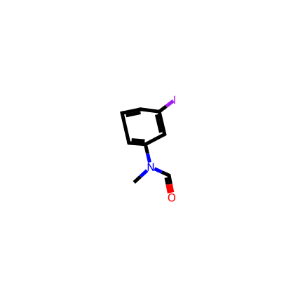 CN(C=O)c1cccc(I)c1